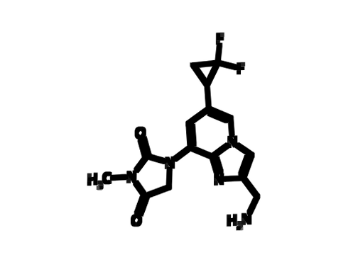 CN1C(=O)CN(c2cc(C3CC3(F)F)cn3cc(CN)nc23)C1=O